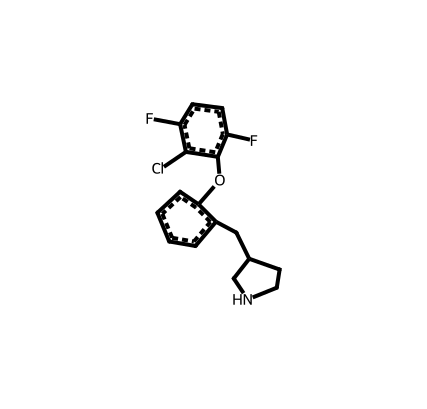 Fc1ccc(F)c(Oc2ccccc2CC2CCNC2)c1Cl